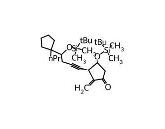 C=C1C(=O)C[C@@H](O[Si](C)(C)C(C)(C)C)[C@@H]1C#CCC(O[Si](C)(C)C(C)(C)C)C1(CCC)CCCC1